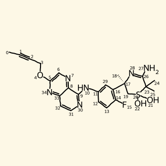 CC#CCOc1cnc2c(Nc3ccc(F)c([C@]4(C)CS(O)(O)C(C)(C)C(N)=N4)c3)nccc2n1